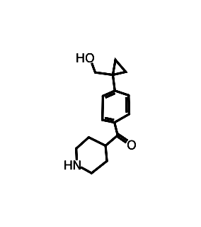 O=C(c1ccc(C2(CO)CC2)cc1)C1CCNCC1